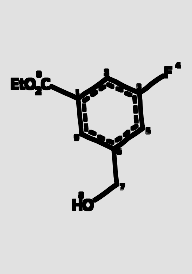 CCOC(=O)c1cc(F)cc(CO)c1